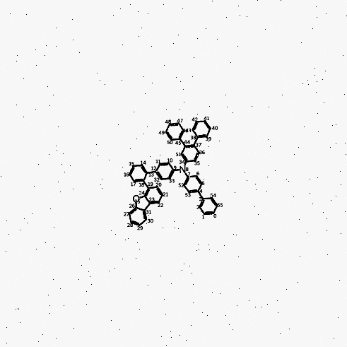 c1ccc(-c2ccc(N(c3ccc(-c4ccccc4-c4cccc5c4oc4ccccc45)cc3)c3ccc(-c4ccccc4)c(-c4ccccc4)c3)cc2)cc1